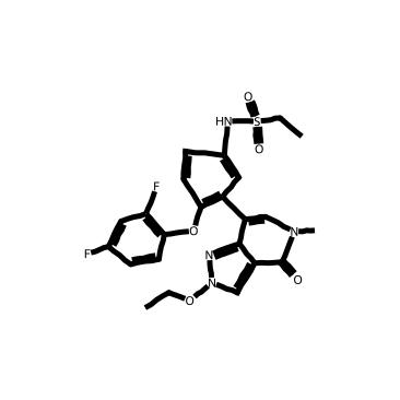 CCOn1cc2c(=O)n(C)cc(-c3cc(NS(=O)(=O)CC)ccc3Oc3ccc(F)cc3F)c2n1